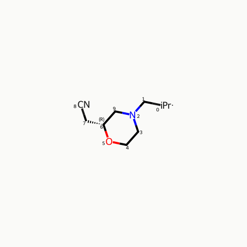 C[C](C)CN1CCO[C@H](CC#N)C1